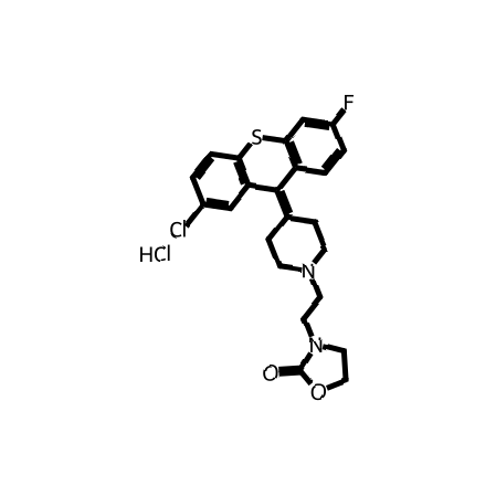 Cl.O=C1OCCN1CCN1CCC(=C2c3ccc(F)cc3Sc3ccc(Cl)cc32)CC1